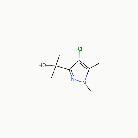 Cc1c(Cl)c(C(C)(C)O)nn1C